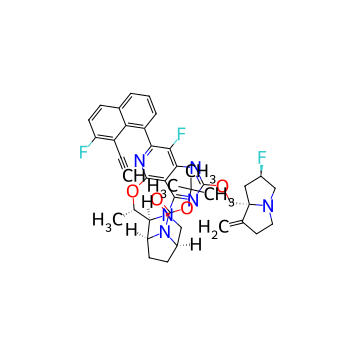 C#Cc1c(F)ccc2cccc(-c3nc4c5c(nc(OC[C@]67C[C@@H](F)CN6CCC7=C)nc5c3F)N3C[C@H]5CC[C@@H]([C@H]3[C@H](C)O4)N5C(=O)OC(C)(C)C)c12